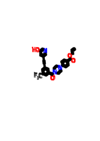 C=CCOC(=O)c1ccc(N2CCN(C(=O)c3cc(C#Cc4cncc(O)c4)cc(C(F)(F)F)c3)CC2)cc1